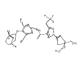 CCC1(OC)CN(c2nc(C(=O)Nc3cc(F)c(OC4C[C@@H]5CC[C@H]4C5)c(F)c3)c(CC(F)(F)F)o2)C1